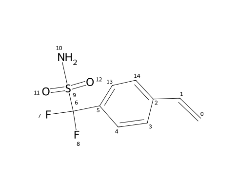 C=Cc1ccc(C(F)(F)S(N)(=O)=O)cc1